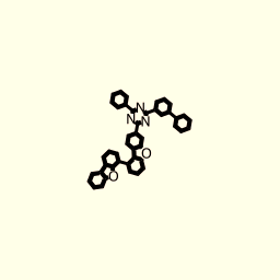 c1ccc(-c2cccc(-c3nc(-c4ccccc4)nc(-c4ccc5c(c4)oc4cccc(-c6cccc7c6oc6ccccc67)c45)n3)c2)cc1